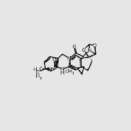 CNC(=O)Nc1ccc2c(c1)CC[C@@]21OC2OC1N2CC(=O)N(Cc1ccc(C)cc1)[C@@H](C)C1CC1